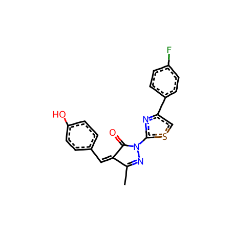 CC1=NN(c2nc(-c3ccc(F)cc3)cs2)C(=O)C1=Cc1ccc(O)cc1